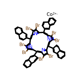 BrC1=C(Br)c2nc1c(-c1ccc3ccccc3c1)c1[nH]c(c(Br)c1Br)c(-c1ccc3ccccc3c1)c1nc(c(-c3ccc4ccccc4c3)c3[nH]c(c(Br)c3Br)c2-c2ccc3ccccc3c2)C(Br)=C1Br.[Co+2]